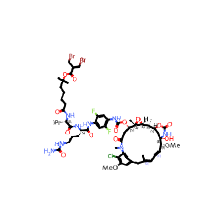 COc1cc2cc(c1Cl)N(C)C(=O)C[C@H](OC(=O)Nc1cc(F)c(NC(=O)[C@H](CCCNC(N)=O)NC(=O)[C@@H](NC(=O)CCCCC(C)(C)OC(=O)C(CBr)CBr)C(C)C)cc1F)[C@]1(C)O[C@H]1[C@H](C)[C@@H]1C[C@@](O)(NC(=O)O1)[C@H](OC)/C=C/C=C(\C)C2